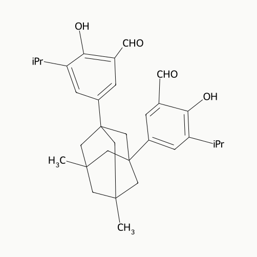 CC(C)c1cc(C23CC4(C)CC(C)(C2)CC(c2cc(C=O)c(O)c(C(C)C)c2)(C4)C3)cc(C=O)c1O